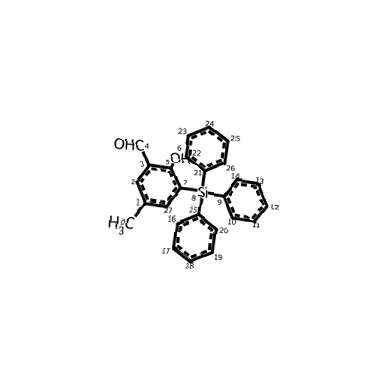 Cc1cc(C=O)c(O)c([Si](c2ccccc2)(c2ccccc2)c2ccccc2)c1